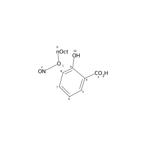 CCCCCCCCON=O.O=C(O)c1ccccc1O